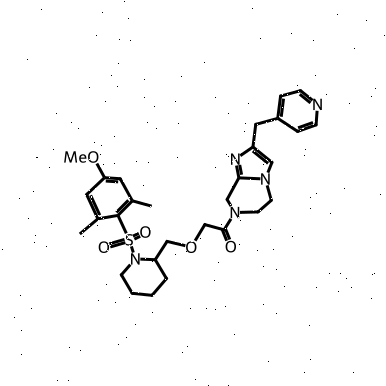 COc1cc(C)c(S(=O)(=O)N2CCCCC2COCC(=O)N2CCn3cc(Cc4ccncc4)nc3C2)c(C)c1